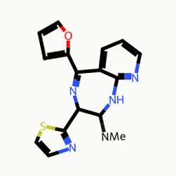 CNC1Nc2ncccc2C(c2ccco2)=NC1c1nccs1